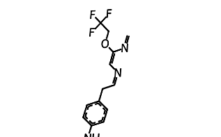 C=N/C(=C\N=C/Cc1ccc(NC)cc1)OCC(F)(F)F